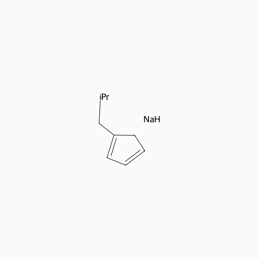 CC(C)CC1=CC=CC1.[NaH]